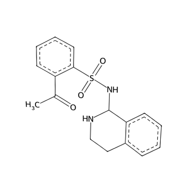 CC(=O)c1ccccc1S(=O)(=O)NC1NCCc2ccccc21